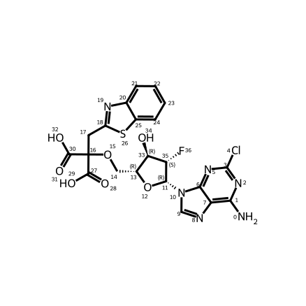 Nc1nc(Cl)nc2c1ncn2[C@@H]1O[C@H](COC(Cc2nc3ccccc3s2)(C(=O)O)C(=O)O)[C@@H](O)[C@@H]1F